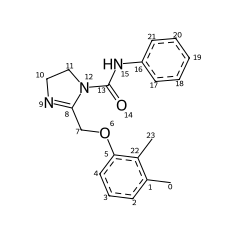 Cc1cccc(OCC2=NCCN2C(=O)Nc2ccccc2)c1C